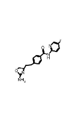 NC1=NC(CCc2ccc(C(=O)Nc3ccc(F)cn3)cc2)CO1